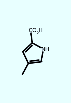 Cc1[c][nH]c(C(=O)O)c1